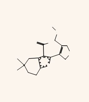 COCC1=C(c2sc3c(c2C(=O)O)CC(C)(C)CC3)COC1